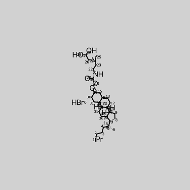 Br.CC(C)CCC[C@@H](C)[C@H]1CC[C@H]2[C@@H]3CC=C4C[C@@H](OOC(=O)NCCN(C)CC(O)O)CC[C@]4(C)[C@H]3CC[C@]12C